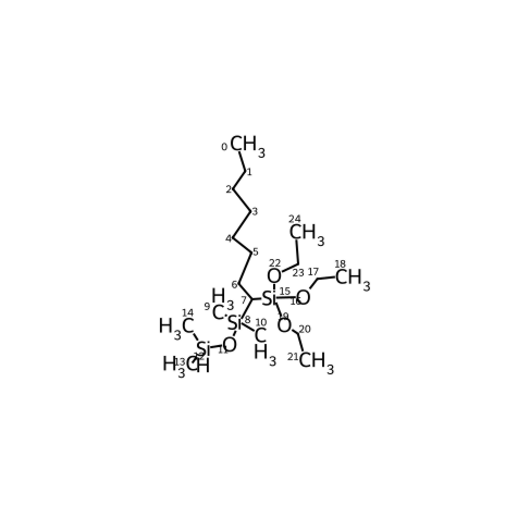 CCCCCCCC([Si](C)(C)O[SiH](C)C)[Si](OCC)(OCC)OCC